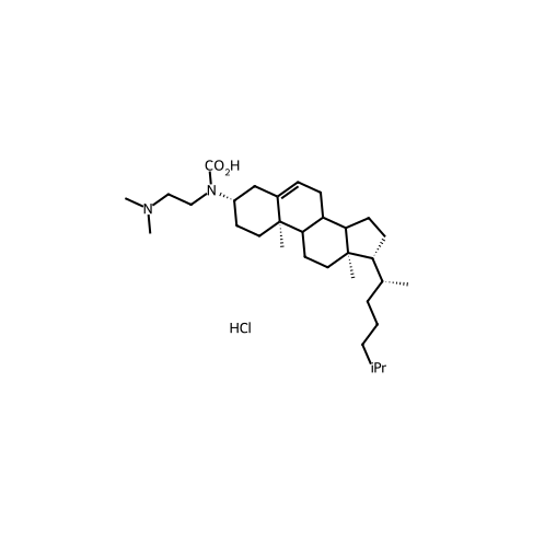 CC(C)CCC[C@@H](C)[C@H]1CCC2C3CC=C4C[C@@H](N(CCN(C)C)C(=O)O)CC[C@]4(C)C3CC[C@@]21C.Cl